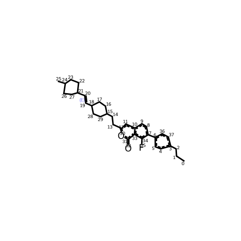 CCCc1ccc(-c2ccc3cc(CCC4CCC(/C=C/C5CCC(C)CC5)CC4)oc(=O)c3c2F)cc1